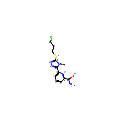 Cn1c(SCCCCl)nnc1-c1cccc(C(N)=O)n1